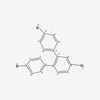 Brc1ccc(-c2ccc(Br)cc2-c2ccc(Br)cc2)cc1